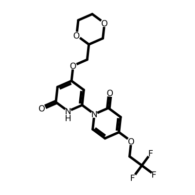 O=c1cc(OCC2COCCO2)cc(-n2ccc(OCC(F)(F)F)cc2=O)[nH]1